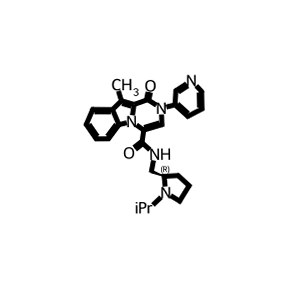 Cc1c2ccccc2n2c(C(=O)NC[C@H]3CCCN3C(C)C)cn(-c3cccnc3)c(=O)c12